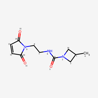 CC1CN(C(=O)NCCN2C(=O)C=CC2=O)C1